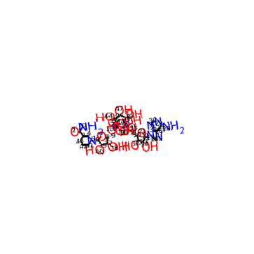 NC(=O)C1=CN([C@@H]2O[C@H](COP(=O)(O)OP(=O)(O)OC[C@H]3O[C@@H](n4cnc5c(N)ncnc54)[C@H](O)[C@@H]3O)[C@@H](O)[C@H]2O)C=CC1.OCC(O)CO